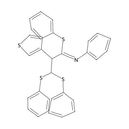 c1ccc(N=C(Sc2ccccc2)C(c2ccsc2)C(Sc2ccccc2)Sc2ccccc2)cc1